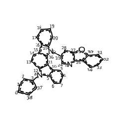 c1ccc(-n2c3ccccc3c3c2ccc2c4ccccc4n(-c4cnc5c(c4)oc4ccccc45)c23)cc1